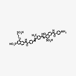 Cc1cc(N=Nc2c(S(=O)(=O)O)cc3cc(NC(=O)c4ccc(N)cc4)ccc3c2O)ccc1N=Nc1ccc(C(=O)Nc2ccc3cc(S(=O)(=O)O)cc(OCCCS(=O)(=O)O)c3c2)cc1